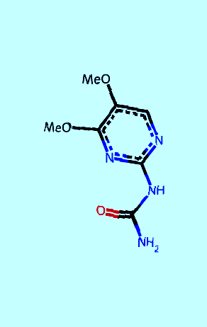 COc1cnc(NC(N)=O)nc1OC